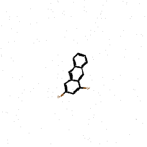 Brc1cc(Br)c2cc3ccccc3cc2c1